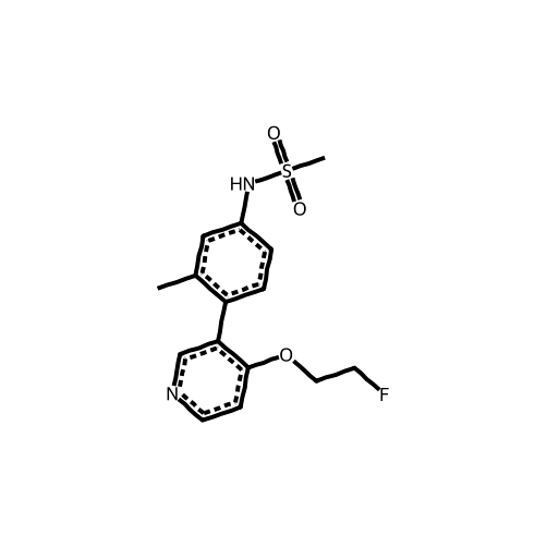 Cc1cc(NS(C)(=O)=O)ccc1-c1cnccc1OCCF